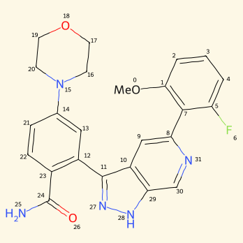 COc1cccc(F)c1-c1cc2c(-c3cc(N4CCOCC4)ccc3C(N)=O)n[nH]c2cn1